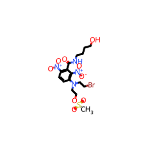 CS(=O)(=O)OCCN(CCBr)c1ccc([N+](=O)[O-])c(C(=O)NCCCCO)c1[N+](=O)[O-]